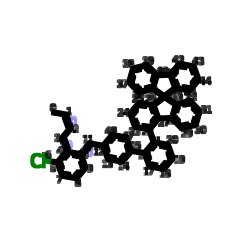 C\C=C/C=c1/c(Cl)ccc/c1=C\c1ccc(-c2ccccc2-c2cccc3c2-c2ccccc2C32c3ccccc3-c3ccccc32)cc1